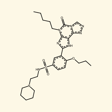 CCCCCn1c(=O)n2cnnc2c2[nH]c(-c3cc(S(=O)(=O)NCCN4CCCCC4)ccc3OCCC)nc21